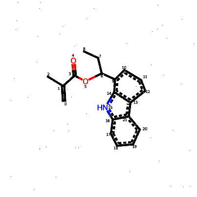 C=C(C)C(=O)OC(CC)c1cccc2c1[nH]c1ccccc12